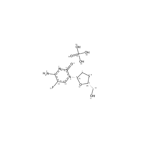 Nc1nc(=O)n([C@@H]2CS[C@H](CO)O2)cc1F.O=P(O)(O)O